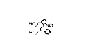 CCN1c2cccc(C(=O)O)c2C(CCC(=O)O)C1c1ccccc1